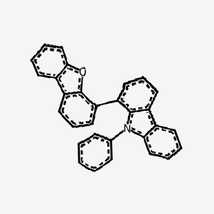 c1ccc(-n2c3ccccc3c3cccc(-c4cccc5c4oc4ccccc45)c32)cc1